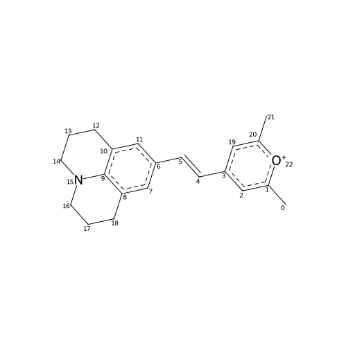 Cc1cc(/C=C/c2cc3c4c(c2)CCCN4CCC3)cc(C)[o+]1